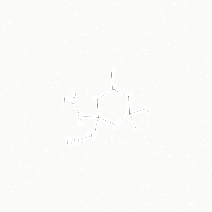 CC1CC(C)(C)CC(OO)(OO)C1